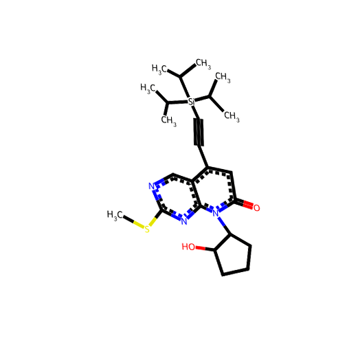 CSc1ncc2c(C#C[Si](C(C)C)(C(C)C)C(C)C)cc(=O)n(C3CCCC3O)c2n1